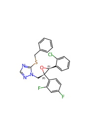 Fc1ccc([C@]2(Cn3ncnc3SCc3ccccc3)O[C@H]2c2ccccc2Cl)c(F)c1